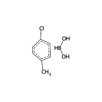 Cc1ccc(Cl)cc1.OBO